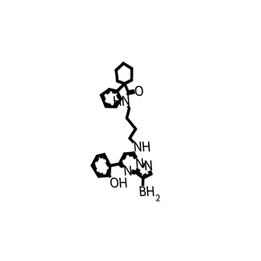 Bc1cnn2c(NCCCCNC(=O)C3(c4ccccc4)CCCCC3)cc(-c3ccccc3O)nc12